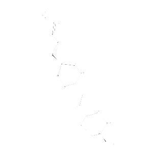 CCCC[C@H]1CC[C@H](CC[C@H]2CC[C@H](C=CC=CC#N)CC2)CC1